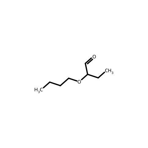 CCCCOC(C=O)CC